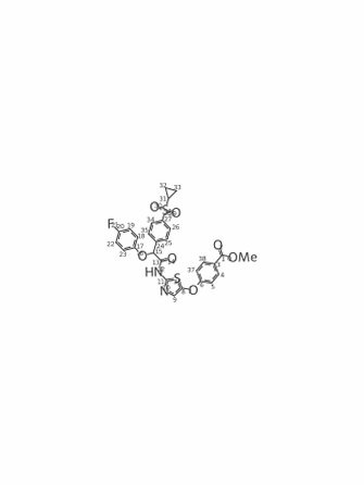 COC(=O)c1ccc(Oc2cnc(NC(=O)C(Oc3ccc(F)cc3)c3ccc(S(=O)(=O)C4CC4)cc3)s2)cc1